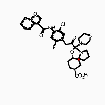 O=C(Nc1cc(F)c(CC(=O)C(O[C@H]2CC[C@H](C(=O)O)CC2)(N2CCCC2)N2CCSCC2)cc1Cl)c1coc2ccccc12